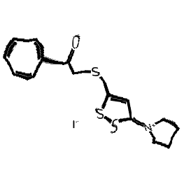 O=C(CSc1cc(=[N+]2CCCC2)ss1)c1ccccc1.[I-]